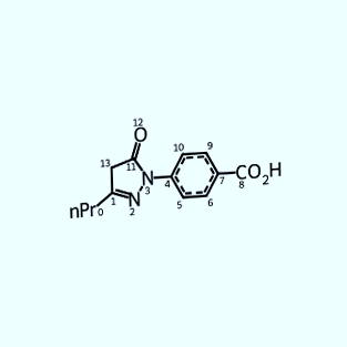 CCCC1=NN(c2ccc(C(=O)O)cc2)C(=O)C1